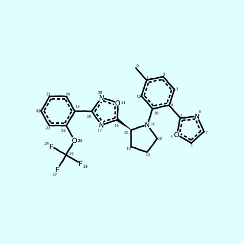 Cc1ccc(-c2ncco2)c(N2CCC[C@H]2c2nc(-c3ccccc3OC(F)(F)F)no2)c1